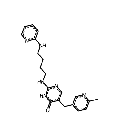 Cc1ccc(Cc2cnc(NCCCCNc3ccccn3)[nH]c2=O)cn1